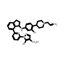 C=CCN1CCC(c2ccc(NC3CCc4cccc(-c5cccc(-n6ncc(C(=O)OCC)c6CC)n5)c43)cc2CC)CC1